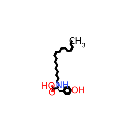 CC/C=C\C/C=C\C/C=C\CCCCCCCCN[C@@H](Cc1ccc(O)cc1)C(=O)O